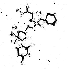 CC(C)OC(=O)[C@H](C)NP(=O)(OC[C@H]1O[C@@H](n2ccc(=O)[nH]c2=O)[C@@](C)(O)[C@@H]1O)Oc1ccccc1